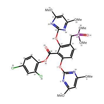 COc1cc(OC)nc(Oc2ccc(CP(=O)(OC)OC)c(Oc3nc(OC)cc(OC)n3)c2C(=O)Oc2ccc(Cl)cc2Cl)n1